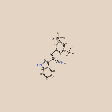 CC(C)(C)c1cc(C=C(C#N)c2c[nH]c3ccccc23)cc(C(C)(C)C)c1